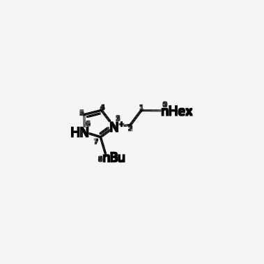 CCCCCCCC[n+]1cc[nH]c1CCCC